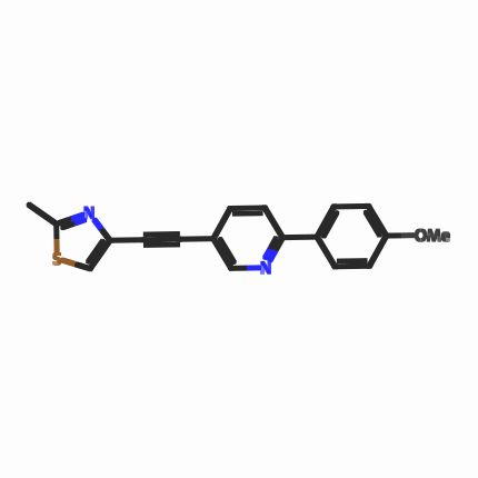 COc1ccc(-c2ccc(C#Cc3csc(C)n3)cn2)cc1